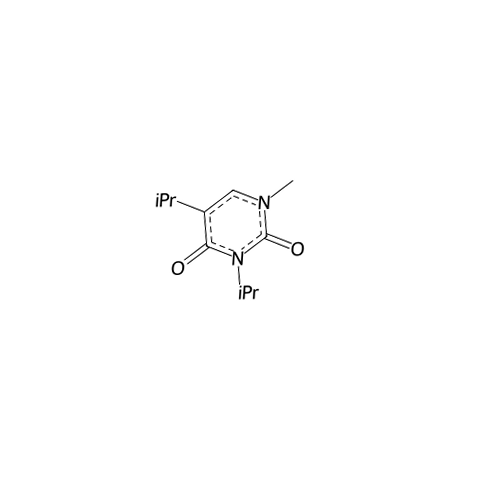 CC(C)c1cn(C)c(=O)n(C(C)C)c1=O